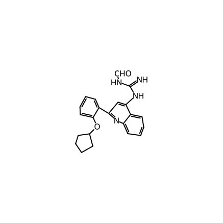 N=C(NC=O)Nc1cc(-c2ccccc2OC2CCCC2)nc2ccccc12